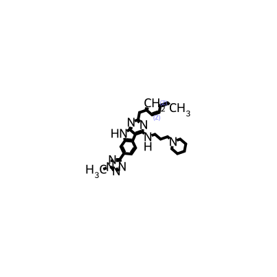 C=C(/C=C\C=C/C)Cc1nc(NCCCN2CCCCC2)c2c(n1)[nH]c1cc(-c3nnn(C)n3)ccc12